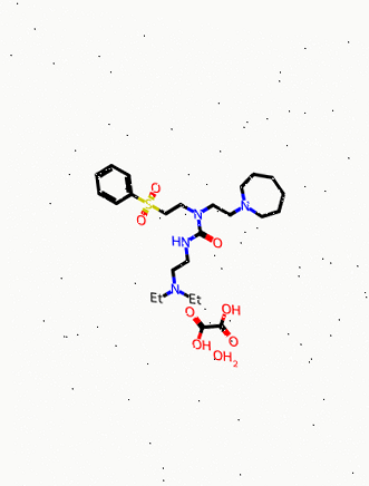 CCN(CC)CCNC(=O)N(CCN1CCCCCC1)CCS(=O)(=O)c1ccccc1.O.O=C(O)C(=O)O